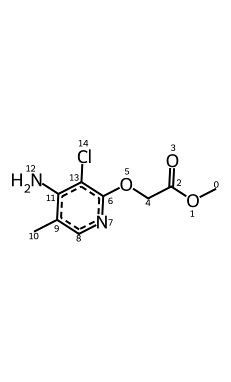 COC(=O)COc1ncc(C)c(N)c1Cl